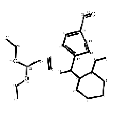 C=C.CCC1CCCCC1C(C)c1ccc(C=O)cc1.CCOC(C)OCC